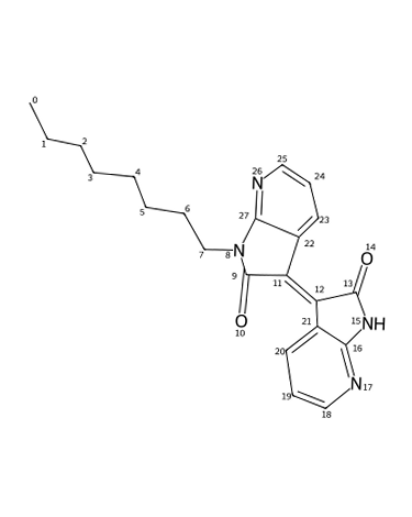 CCCCCCCCN1C(=O)/C(=C2/C(=O)Nc3ncccc32)c2cccnc21